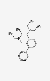 CC(C)CP(Cc1cccc(-c2ccccc2)c1CP(CC(C)C)CC(C)C)CC(C)C